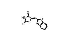 O=C1NC(=O)/C(=C/c2cc3ccccc3o2)S1